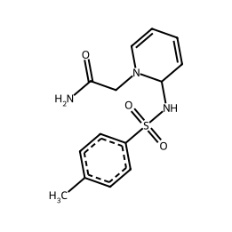 Cc1ccc(S(=O)(=O)NC2C=CC=CN2CC(N)=O)cc1